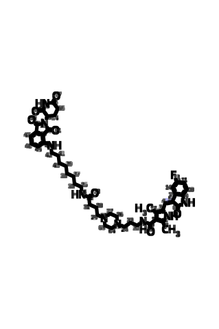 Cc1[nH]c(/C=C2\C(=O)Nc3ccc(F)cc32)c(C)c1C(=O)NCCCN1CCN(CCCC(=O)NCCCCCCCCNc2cccc3c2C(=O)N(C2CCC(=O)NC2=O)C3=O)CC1